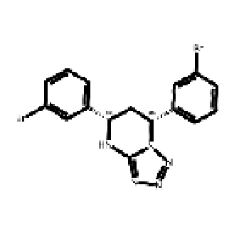 Brc1cccc([C@@H]2C[C@H](c3cccc(Br)c3)n3nnnc3N2)c1